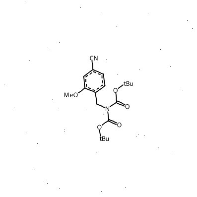 COc1cc(C#N)ccc1CN(C(=O)OC(C)(C)C)C(=O)OC(C)(C)C